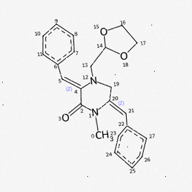 CN1C(=O)/C(=C/c2ccccc2)N(CC2OCCO2)C/C1=C/c1ccccc1